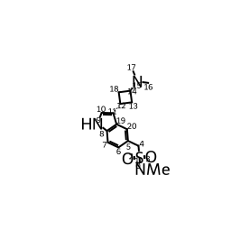 CNS(=O)(=O)Cc1ccc2[nH]cc([C@H]3C[C@H](N(C)C)C3)c2c1